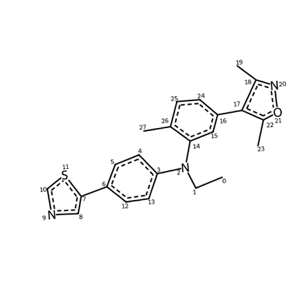 CCN(c1ccc(-c2cncs2)cc1)c1cc(-c2c(C)noc2C)ccc1C